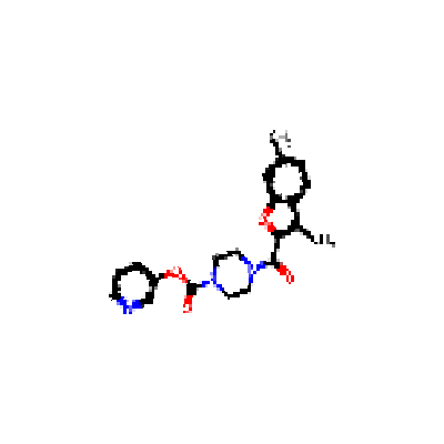 Cc1ccc2c(C)c(C(=O)N3CCN(C(=O)Oc4cccnc4)CC3)oc2c1